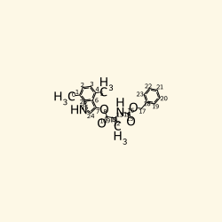 Cc1ccc(C)c2c(OC(=O)[C@H](C)NC(=O)OCc3ccccc3)c[nH]c12